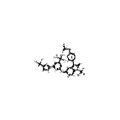 [2H]C([2H])([2H])n1c(=O)n(C23CCC(NC(C)=O)(CC2)CC3)c2cc(Nc3cc(C(C)(C)O)cc(-c4ncc(C(F)(F)F)s4)n3)ncc21